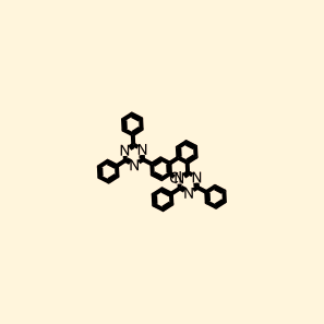 Clc1ccc(-c2nc(-c3ccccc3)nc(-c3ccccc3)n2)cc1-c1ccccc1-c1nc(-c2ccccc2)nc(-c2ccccc2)n1